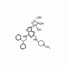 CN1CCC(NCc2nc(NCC(c3ccccc3)c3ccccc3)c3ncn([C@@H]4O[C@H](CO)[C@@H](O)[C@H]4O)c3n2)CC1